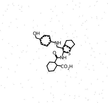 O=C(O)C1CCCCC1C(=O)Nc1sc2c(c1CNc1ccc(CO)cc1)CCC2